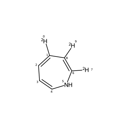 [2H]C1=CC=CNC([2H])=C1[2H]